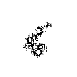 CC1(c2nc(NC(=O)c3ccc(OCC(F)F)cn3)ccc2F)CS2(=O)=NCCCC2(C)C(N)=N1